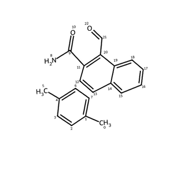 Cc1ccc(C)cc1.NC(=O)c1ccc2ccccc2c1C=O